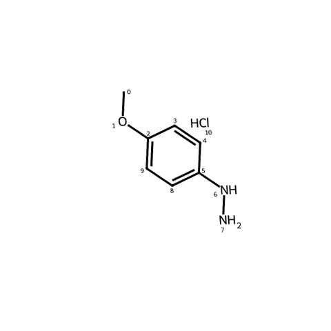 COc1ccc(NN)cc1.Cl